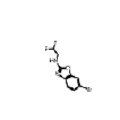 FC(F)CNc1nc2ccc(Br)cc2o1